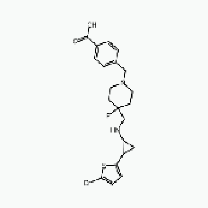 O=C(O)c1ccc(CN2CCC(F)(CNC3CC3c3ccc(Br)s3)CC2)cc1